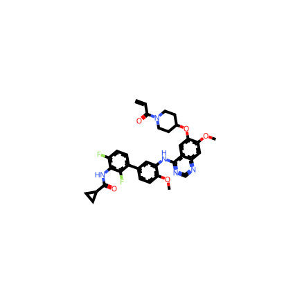 C=CC(=O)N1CCC(Oc2cc3c(Nc4cc(-c5ccc(F)c(NC(=O)C6CC6)c5F)ccc4OC)ncnc3cc2OC)CC1